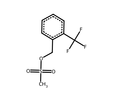 CS(=O)(=O)OCc1ccccc1C(F)(F)F